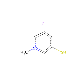 C[n+]1cccc(S)c1.[I-]